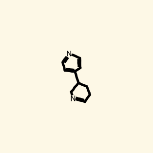 C1=NCC(c2ccncc2)CC1